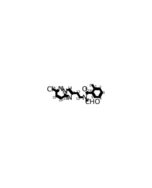 Cc1ccccc1C(=O)N(C=O)CCc1cn2nc(Cl)ccc2n1